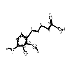 COc1ccc(CCCCC(=O)O)c(OC)c1Cl